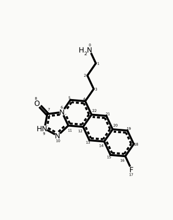 NCCCc1cn2c(=O)[nH]nc2c2cc3cc(F)ccc3cc12